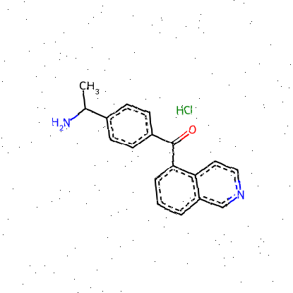 CC(N)c1ccc(C(=O)c2cccc3cnccc23)cc1.Cl